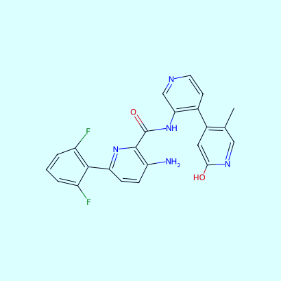 Cc1cnc(O)cc1-c1ccncc1NC(=O)c1nc(-c2c(F)cccc2F)ccc1N